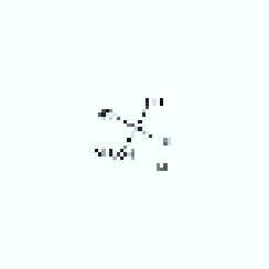 O[Si](O)(O)O.[AlH3].[Ni]